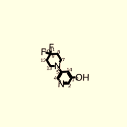 Oc1cncc(N2CCC(F)(F)CC2)c1